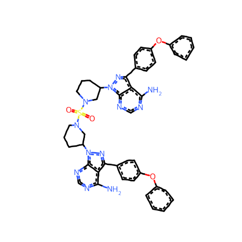 Nc1ncnc2c1c(-c1ccc(Oc3ccccc3)cc1)nn2C1CCCN(S(=O)(=O)N2CCCC(n3nc(-c4ccc(Oc5ccccc5)cc4)c4c(N)ncnc43)C2)C1